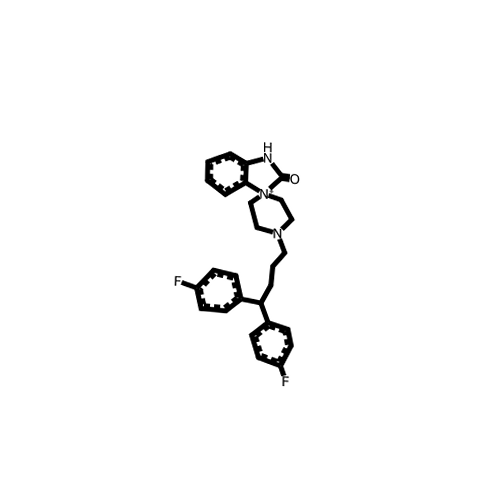 O=C1Nc2ccccc2[N+]12CCN(CCCC(c1ccc(F)cc1)c1ccc(F)cc1)CC2